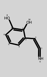 N=C=Cc1cccc(O)c1O